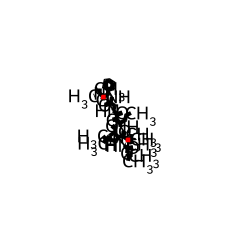 CCCC(NC(=O)[C@@H]1C2[C@H](CN1C(=O)[C@@H](NC(=O)OC(C)C)C(C)(C)C)C2(C)C)C(=O)C(=O)NCC(=O)N[C@H](C(=O)N(C)C)c1ccccc1